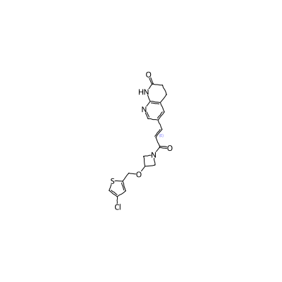 O=C1CCc2cc(/C=C/C(=O)N3CC(OCc4cc(Cl)cs4)C3)cnc2N1